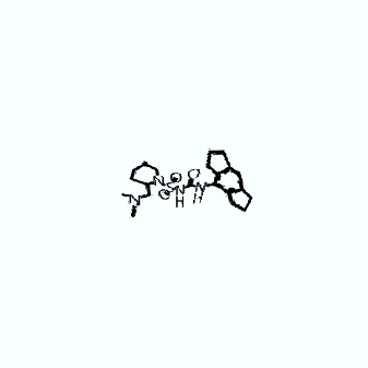 CN(C)CC1CCCCN1S(=O)(=O)NC(=O)Nc1c2c(cc3c1CCC3)CCC2